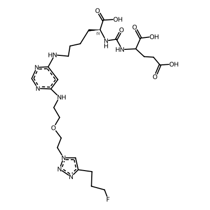 O=C(O)CCC(NC(=O)N[C@@H](CCCCNc1cc(NCCOCCn2cc(CCCF)nn2)ncn1)C(=O)O)C(=O)O